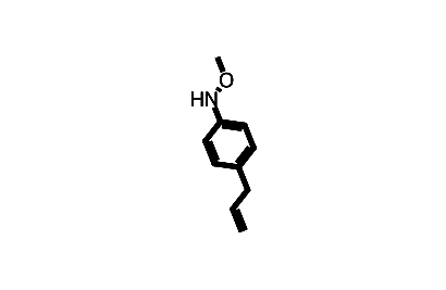 C=CCc1ccc(NOC)cc1